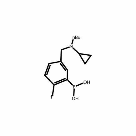 CCCCN(Cc1ccc(F)c(B(O)O)c1)C1CC1